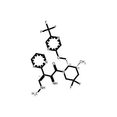 CN/C=C(\C(=N)C(=O)N1CC(F)(F)C[C@@H](C)[C@H]1COc1cnc(C(F)(F)F)cn1)c1ncccn1